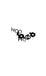 Cc1ccccc1N1CCN(Cc2ccc(CC(=O)O)cc2)CC1.Cl